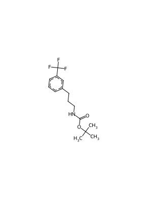 CC(C)(C)OC(=O)NCCCc1cccc(C(F)(F)F)c1